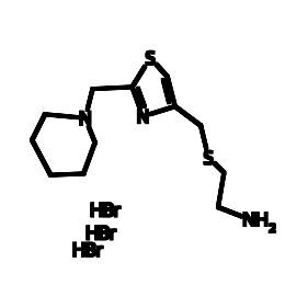 Br.Br.Br.NCCSCc1csc(CN2CCCCC2)n1